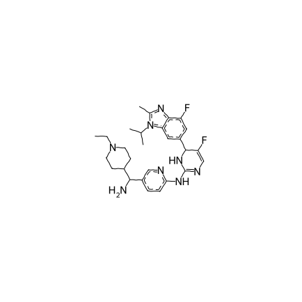 CCN1CCC(C(N)c2ccc(NC3=NC=C(F)C(c4cc(F)c5nc(C)n(C(C)C)c5c4)N3)nc2)CC1